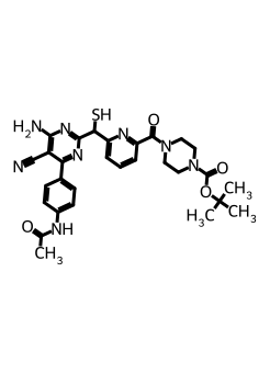 CC(=O)Nc1ccc(-c2nc(C(S)c3cccc(C(=O)N4CCN(C(=O)OC(C)(C)C)CC4)n3)nc(N)c2C#N)cc1